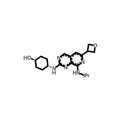 CC(C)Nc1nc(C2COC2)cc2cnc(N[C@H]3CC[C@H](O)CC3)nc12